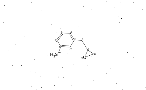 [SiH3]c1cccc(CC2CO2)c1